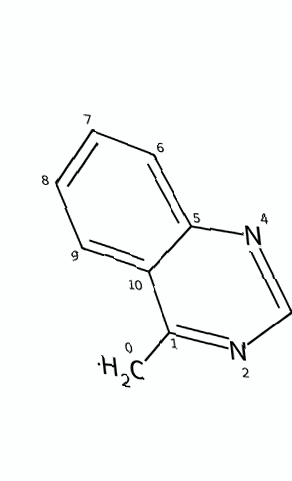 [CH2]c1ncnc2ccccc12